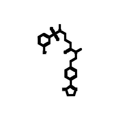 CN(CCc1ccc(C2=NCCN2)cc1)C(=O)CCCN(C)S(=O)(=O)c1cccc(Br)c1